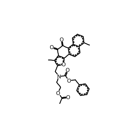 CC(=O)OCCN(Cc1oc2c(c1C)C(=O)C(=O)c1c-2ccc2c(C)cccc12)C(=O)OCc1ccccc1